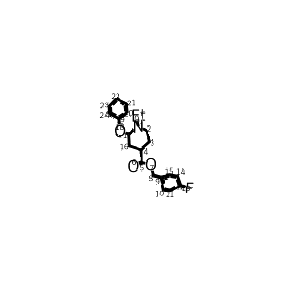 CCN1CCC(C(=O)OCc2ccc(F)cc2)CC1Oc1ccccc1